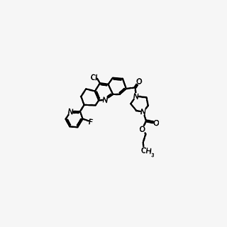 CCCOC(=O)N1CCN(C(=O)c2ccc3c(Cl)c4c(nc3c2)CC(c2ncccc2F)CC4)CC1